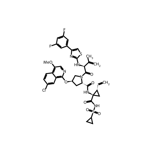 C=C[C@@H]1C[C@]1(NC(=O)[C@@H]1C[C@@H](Oc2ncc(OC)c3ccc(Cl)cc23)CN1C(=O)[C@@H](Nc1nc(-c2cc(F)cc(F)c2)cs1)C(=C)C)C(=O)NS(=O)(=O)C1CC1